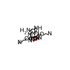 CN(C)CCCOc1nn2ccccc2c1/N=C1\N/C(=N\c2c(OCCCN(C)C)nn3ccccc23)C(N)=CC1=N